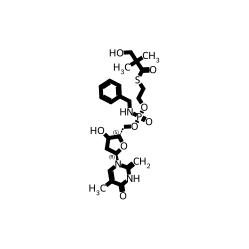 C=C1NC(=O)C(C)=CN1[C@H]1CC(O)[C@H](COP(=O)(NCc2ccccc2)OCCSC(=O)C(C)(C)CO)O1